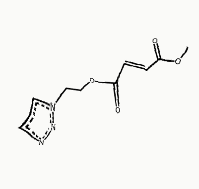 COC(=O)/C=C/C(=O)OCCn1ccnn1